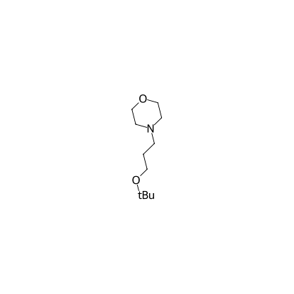 CC(C)(C)OCCCN1CCOCC1